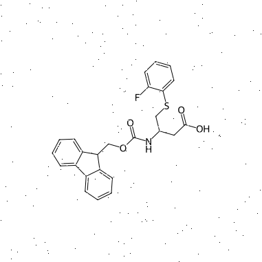 O=C(O)CC(CSc1ccccc1F)NC(=O)OCC1c2ccccc2-c2ccccc21